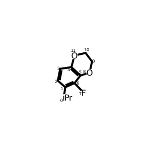 CC(C)c1ccc2c(c1F)OCCO2